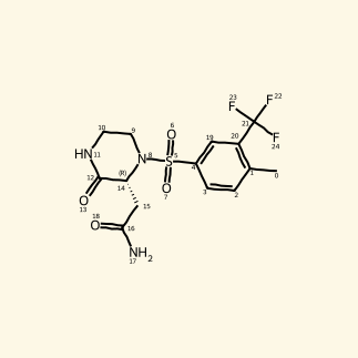 Cc1ccc(S(=O)(=O)N2CCNC(=O)[C@H]2CC(N)=O)cc1C(F)(F)F